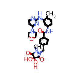 Cc1ccc(NC(=O)c2ccc(CN3C(=O)C(O)(O)C(=O)N3C)cc2)cc1Nc1nccc(N2CCOCC2)n1